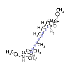 CC1=C(/C=C/C(C)=C/C=C/C(C)=C/C=C/C=C(C)/C=C/C=C(C)/C=C/C2=C(C)C(=O)C(NCCc3ccc(C)cc3)CC2(C)C)C(C)(C)CC(NCCc2ccc(C)cc2)C1=O